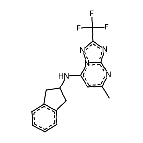 Cc1cc(NC2Cc3ccccc3C2)n2nc(C(F)(F)F)nc2n1